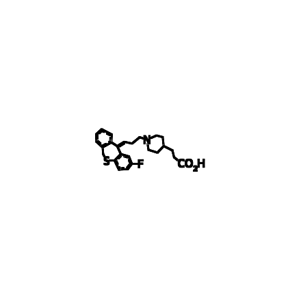 O=C(O)CCC1CCN(CCC=C2c3ccccc3CSc3ccc(F)cc32)CC1